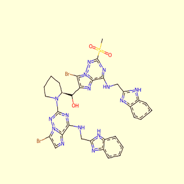 CS(=O)(=O)c1nc(NCc2nc3ccccc3[nH]2)c2nc(C(O)[C@@H]3CCCCN3c3nc(NCc4nc5ccccc5[nH]4)c4ncc(Br)n4n3)c(Br)n2n1